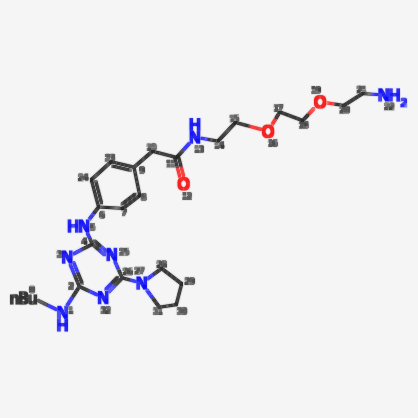 CCCCNc1nc(Nc2ccc(CC(=O)NCCOCCOCCN)cc2)nc(N2CCCC2)n1